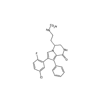 O=C(O)NCCC1CNC(=O)c2c(-c3ccccc3)c(-c3cc(Cl)ccc3F)cn21